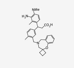 CNc1ccc(C(CC(=O)O)c2ccc(C)c(CN3Cc4ccccc4OC4(CCC4)C3)c2)c(C)c1N